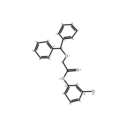 O=C(COC(c1ccccc1)c1ccccc1)Oc1cccc(Cl)c1